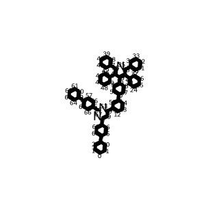 c1ccc(-c2ccc(-c3cc(-c4cccc(-c5ccc(-c6c(-c7ccccc7)c(-c7ccccc7)nc(-c7ccccc7)c6-c6ccccc6)cc5)c4)nc(-c4ccc(-c5ccccc5)cc4)n3)cc2)cc1